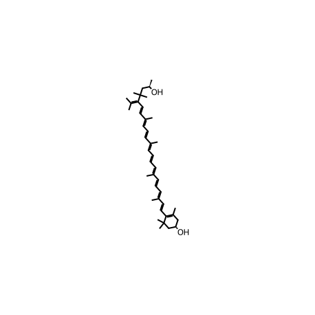 CC(C)=C(/C=C/C(C)=C/C=C/C(C)=C/C=C/C=C(C)/C=C/C=C(C)/C=C/C1=C(C)C[C@@H](O)CC1(C)C)C(C)(C)C[C@@H](C)O